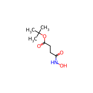 CC(C)(C)OC(=O)CCC(=O)NO